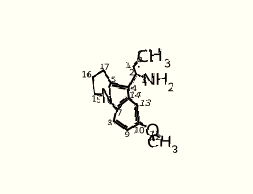 C[CH]C(N)c1c2n(c3ccc(OC)cc13)CCC2